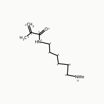 C=C(C)C(=O)NCCCCCCNC